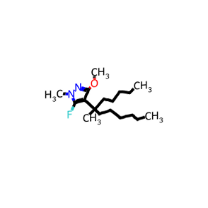 CCCCCCC(C)(CCCCC)c1c(OC)nn(C)c1F